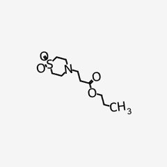 CCCOC(=O)CCN1CCS(=O)(=O)CC1